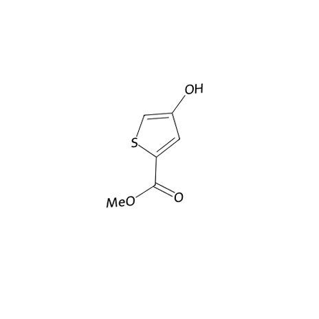 COC(=O)c1cc(O)cs1